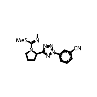 CN=C(SC)N1CCCC1c1nnn(-c2cccc(C#N)c2)n1